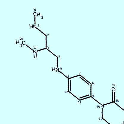 CNCC(CNc1ccc(N2CCOCC2=O)cc1)NC